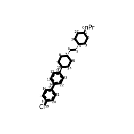 CCC[C@H]1CC[C@H](CC[C@H]2CC[C@H](c3ccc(-c4ccc(Cl)cc4)cc3)CC2)CC1